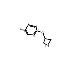 Clc1ccc(OC2C[N]C2)cc1